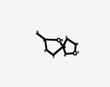 CC1CCC2(CCOC2)O1